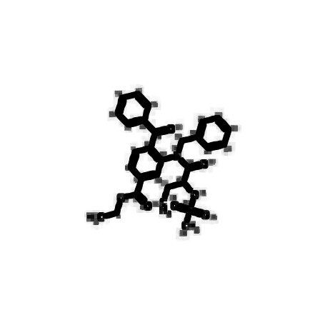 CCOC(=O)c1ccc(C(=O)c2ccccc2)c(N(Cc2ccccc2)C(=O)C(CC)OS(C)(=O)=O)c1